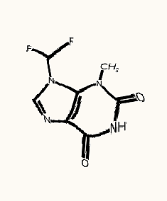 Cn1c(=O)[nH]c(=O)c2ncn(C(F)F)c21